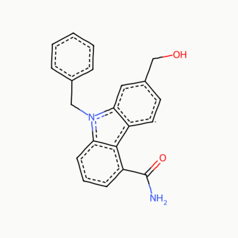 NC(=O)c1cccc2c1c1[c]cc(CO)cc1n2Cc1ccccc1